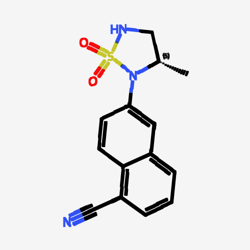 C[C@H]1CNS(=O)(=O)N1c1ccc2c(C#N)cccc2c1